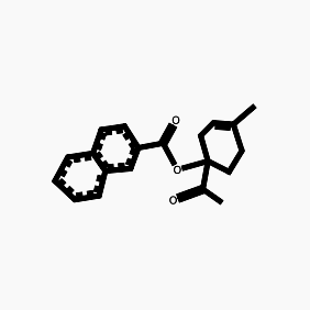 CC(=O)C1(OC(=O)c2ccc3ccccc3c2)CC=C(C)CC1